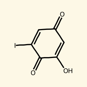 O=C1C=C(O)C(=O)C(I)=C1